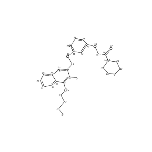 CCCCOc1c(C)c(COc2cc(OCC(=O)N3CCCCC3)ccn2)nc2ccccc12